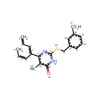 C=C/C=C(\C=C/C)c1nc(SCc2cccc(C(=O)O)c2)[nH]c(=O)c1C#N